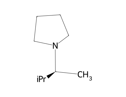 CC(C)[C@H](C)N1CCCC1